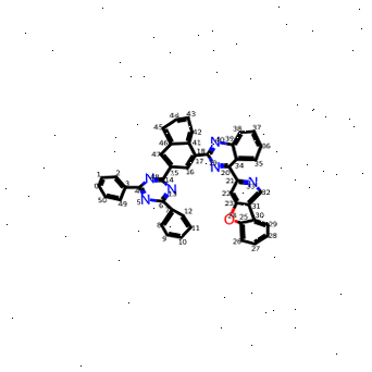 c1ccc(-c2nc(-c3ccccc3)nc(-c3cc(-c4nc(-c5cc6oc7ccccc7c6cn5)c5ccccc5n4)c4ccccc4c3)n2)cc1